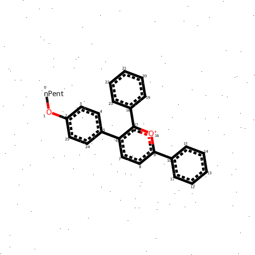 CCCCCOc1ccc(-c2ccc(-c3ccccc3)[o+]c2-c2ccccc2)cc1